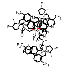 C[C@H]1[C@H](F)C[C@@H](C(=O)NCOP(=O)(OCNC(=O)[C@@H]2C[C@@H](F)[C@H](C)[N+]2(Cc2cc(-c3cnc(C(F)(F)F)nc3)ncc2C(F)(F)F)S(=O)(=O)c2ccc(F)cc2)OCNC(=O)[C@@H]2C[C@@H](F)[C@H](C)[N+]2(Cc2cc(-c3cnc(C(F)(F)F)nc3)ncc2C(F)(F)F)S(=O)(=O)c2ccc(F)cc2)[N+]1(Cc1cc(-c2cnc(C(F)(F)F)nc2)ncc1C(F)(F)F)S(=O)(=O)c1ccc(F)cc1